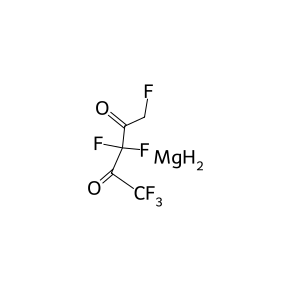 O=C(CF)C(F)(F)C(=O)C(F)(F)F.[MgH2]